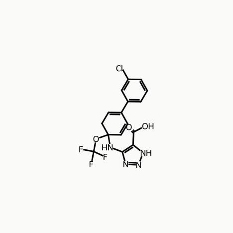 O=C(O)c1[nH]nnc1NC1(OC(F)(F)F)C=CC(c2cccc(Cl)c2)=CC1